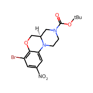 CC(C)(C)OC(=O)N1CCN2c3cc([N+](=O)[O-])cc(Br)c3OC[C@H]2C1